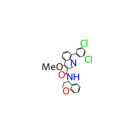 COc1c(C(=O)N[C@H]2CCOc3ccccc32)cnc2c(-c3cc(Cl)cc(Cl)c3)cccc12